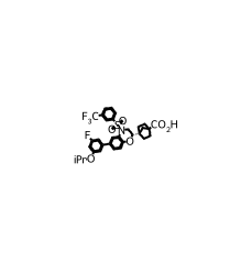 CC(C)Oc1cc(F)cc(-c2ccc3c(c2)N(S(=O)(=O)c2cccc(C(F)(F)F)c2)C[C@H](C24CCC(C(=O)O)(CC2)C4)O3)c1